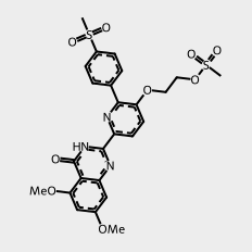 COc1cc(OC)c2c(=O)[nH]c(-c3ccc(OCCOS(C)(=O)=O)c(-c4ccc(S(C)(=O)=O)cc4)n3)nc2c1